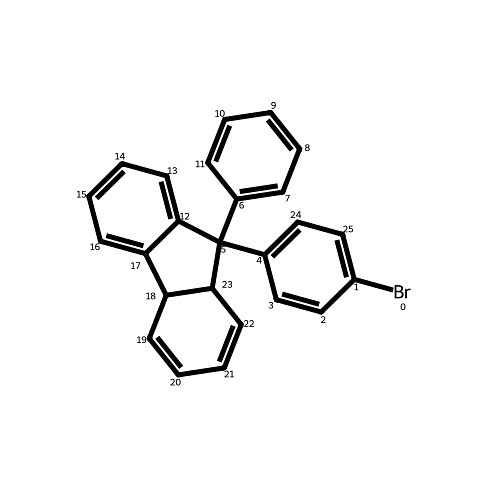 Brc1ccc(C2(c3ccccc3)c3ccccc3C3C=CC=CC32)cc1